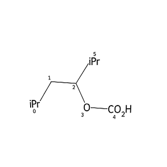 CC(C)CC(OC(=O)O)C(C)C